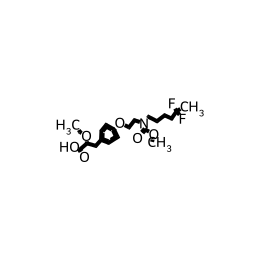 CCOC(Cc1ccc(OCCN(CCCCC(C)(F)F)C(=O)OC)cc1)C(=O)O